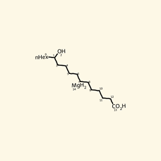 CCCCCCC(O)CCCCCCCCCCC(=O)O.[MgH2]